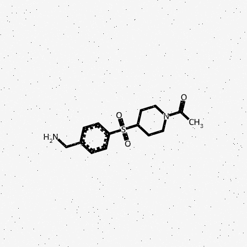 CC(=O)N1CCC(S(=O)(=O)c2ccc(CN)cc2)CC1